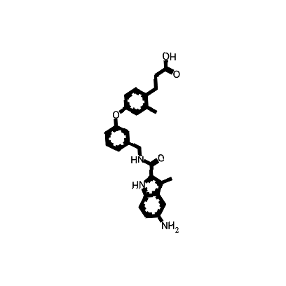 Cc1cc(Oc2cccc(CNC(=O)c3[nH]c4ccc(N)cc4c3C)c2)ccc1CCC(=O)O